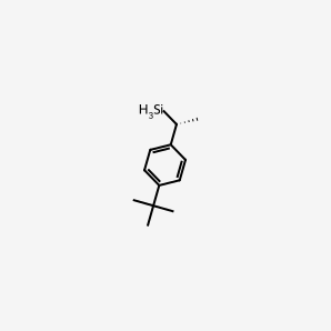 C[C@@H]([SiH3])c1ccc(C(C)(C)C)cc1